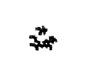 COc1cc(/C=C(\CCCCl)C(=O)O)ccc1-n1cnc(C)c1.O=C(O)C(F)(F)F